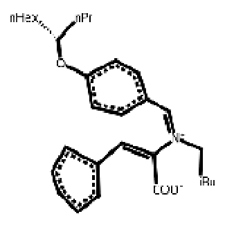 CCCCCC[C@H](CCC)Oc1ccc(C=[N+](CC(C)CC)C(=Cc2ccccc2)C(=O)[O-])cc1